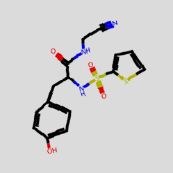 N#CCNC(=O)C(Cc1ccc(O)cc1)NS(=O)(=O)c1cccs1